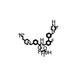 C[C@H]1CN(Cc2cccc(-c3cc(CNC(=O)c4cccc(CN5CCC(CC[N+](C)(C)C)CC5)c4)ccc3F)c2)CCN1.O=C(O)C(F)(F)F.[I-]